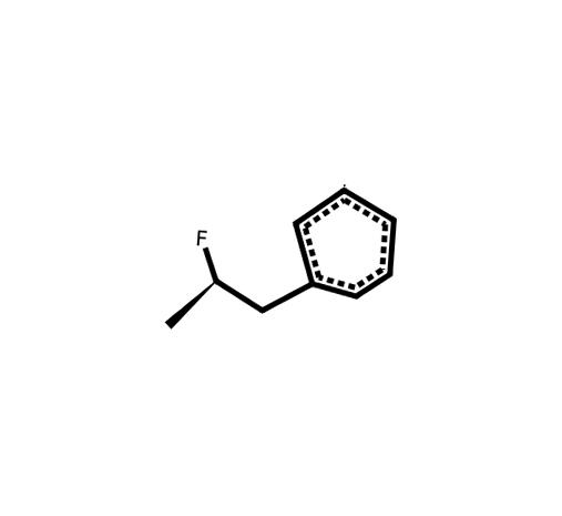 C[C@@H](F)Cc1c[c]ccc1